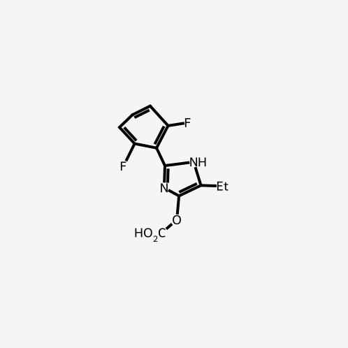 CCc1[nH]c(-c2c(F)cccc2F)nc1OC(=O)O